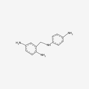 Nc1ccc(NCc2cc(N)ccc2N)cc1